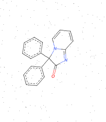 O=C1N=C2C=CC=CN2C1(c1ccccc1)c1ccccc1